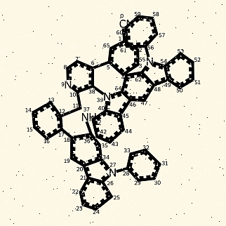 N#Cc1cccc(-c2ccnc(Cc3ccccc3-c3cc4c5ccccc5n(-c5ccccc5)c4cc3N)c2-n2c3ccccc3c3cc4c5ccccc5n(-c5ccccc5)c4cc32)c1